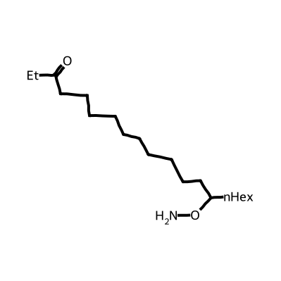 CCCCCCC(CCCCCCCCCCC(=O)CC)ON